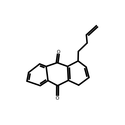 C=CCCC1C=CCC2=C1C(=O)c1ccccc1C2=O